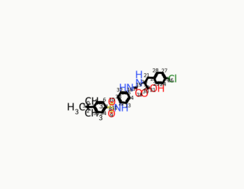 CC(C)(C)c1ccc(S(=O)(=O)Nc2ccc(NC(=O)NC(Cc3ccc(Cl)cc3)C(=O)O)cc2)cc1